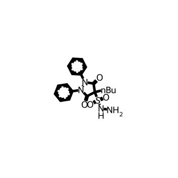 CCCCC1(S(=O)(=O)NN)C(=O)N(c2ccccc2)N(c2ccccc2)C1=O